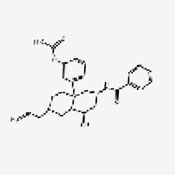 C=CCN1CCC2(c3cccc(OC(C)=O)c3)CC(NC(=O)c3ccccc3)CC(O)C2C1